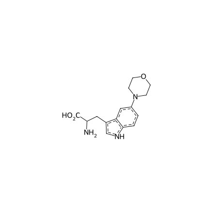 NC(Cc1c[nH]c2ccc(N3CCOCC3)cc12)C(=O)O